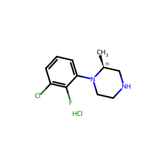 C[C@H]1CNCCN1c1cccc(Cl)c1F.Cl